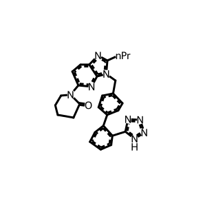 CCCc1nc2ccc(N3CCCCC3=O)nc2n1Cc1ccc(-c2ccccc2-c2nnn[nH]2)cc1